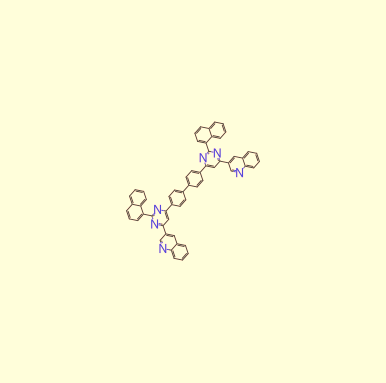 c1ccc2ncc(-c3cc(-c4ccc(-c5ccc(-c6cc(-c7cnc8ccccc8c7)nc(-c7cccc8ccccc78)n6)cc5)cc4)nc(-c4cccc5ccccc45)n3)cc2c1